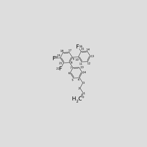 C=CCCc1ccc(-c2c(-c3ccccc3F)ccc(F)c2F)cc1